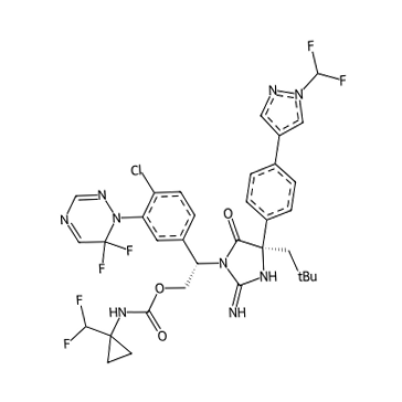 CC(C)(C)C[C@]1(c2ccc(-c3cnn(C(F)F)c3)cc2)NC(=N)N([C@H](COC(=O)NC2(C(F)F)CC2)c2ccc(Cl)c(N3N=CN=CC3(F)F)c2)C1=O